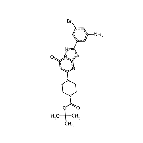 CC(C)(C)OC(=O)N1CCN(c2cc(=O)n3nc(-c4cc(N)cc(Br)c4)sc3n2)CC1